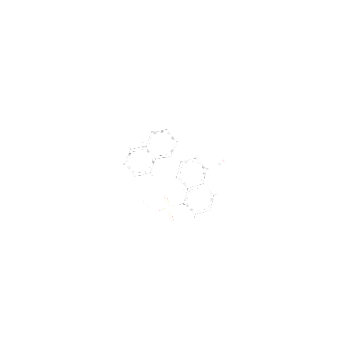 C=O.COS(=O)(=O)c1cccc2ccccc12.c1ccc2ccccc2c1